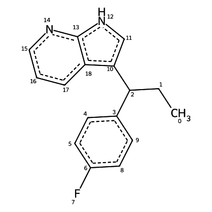 CCC(c1ccc(F)cc1)c1c[nH]c2ncccc12